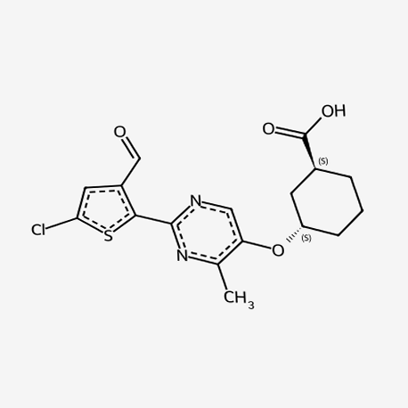 Cc1nc(-c2sc(Cl)cc2C=O)ncc1O[C@H]1CCC[C@H](C(=O)O)C1